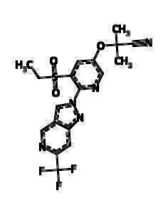 CCS(=O)(=O)c1cc(OC(C)(C)C#N)cnc1-n1cc2cnc(C(F)(F)F)cc2n1